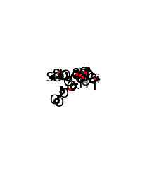 C=C1C[C@H](CCC2OCCO2)O[C@H]1CC[C@H]1C[C@H](C)C(=C)[C@@H](C[C@@H]2O[C@H](C[C@@H](CO[Si](C)(C)C(C)(C)C)O[Si](C)(C)C(C)(C)C)[C@H](OC)[C@H]2CC(=O)C[C@H]2CC[C@@H]3O[C@H](C(/C=C/I)O[Si](C)(C)C(C)(C)C)C(O[Si](C)(C)C(C)(C)C)C(O[Si](C)(C)C(C)(C)C)[C@@H]3O2)O1